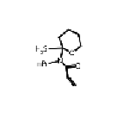 [CH2]CCN(C(=O)C=C)C1([SiH3])CCCCO1